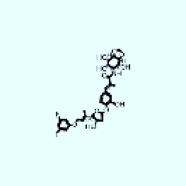 C/C(=C\c1ccc(O[C@H]2C[C@H](O)[C@@H](/C(C)=C/COc3cc(F)cc(F)c3)O2)c(O)c1)C(=O)N[C@@H]1[C@H](O)[C@@H](O)[C@H]2OCO[C@H]2[C@@H]1O